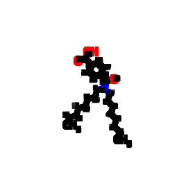 CCCCCCCCN(CCCCCCCC)C(=O)c1ccc(C(=O)O)cc1